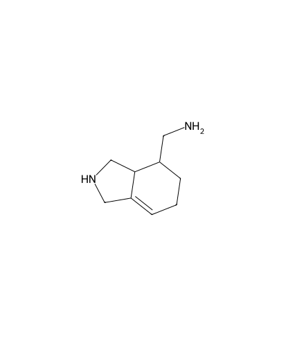 NCC1CCC=C2CNCC21